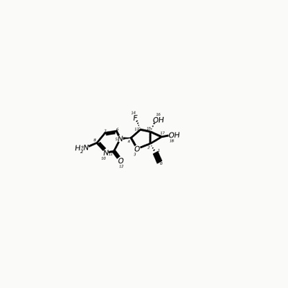 C#C[C@]12O[C@@H](n3ccc(N)nc3=O)[C@H](F)[C@@]1(O)C2O